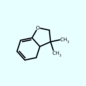 CC1(C)COC2=CC=CCC21